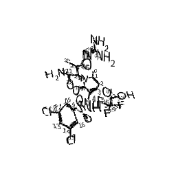 Cc1ccc(NS(=O)(=O)c2cc(Cl)cc(Cl)c2)c(=O)n1C(C(N)=O)C(C)ON=C(N)N.O=C(O)C(F)(F)F